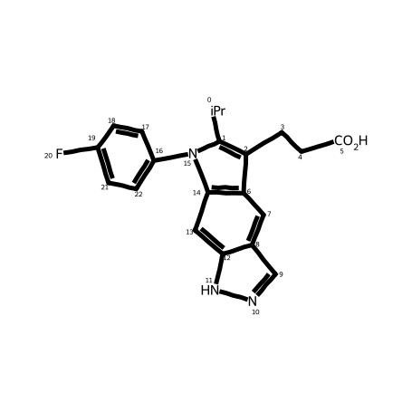 CC(C)c1c(CCC(=O)O)c2cc3cn[nH]c3cc2n1-c1ccc(F)cc1